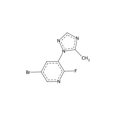 Cc1ncnn1-c1cc(Br)cnc1F